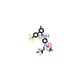 Cc1ccc(C(=O)Nc2ccc(N(CCc3csc(C)n3)C(=O)OC(C)(C)C)cc2)c(-c2ccc(C(F)(F)F)cc2)c1